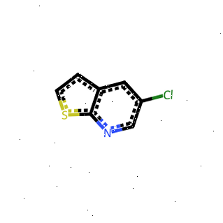 Clc1cnc2sccc2c1